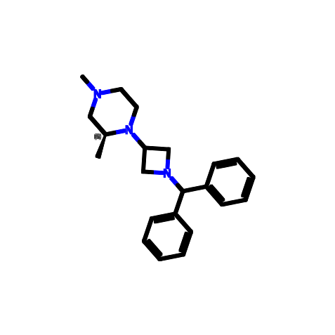 C[C@H]1CN(C)CCN1C1CN(C(c2ccccc2)c2ccccc2)C1